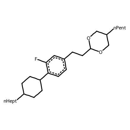 CCCCCCCC1CCC(c2ccc(CCC3OCC(CCCCC)CO3)cc2F)CC1